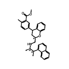 COC(=O)c1cc(C2C[C@H](CN[C@H](C)[C@H](C)c3cccc4ccccc34)Oc3ccccc32)ccc1C